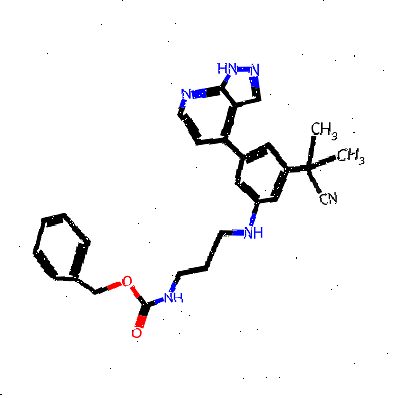 CC(C)(C#N)c1cc(NCCCNC(=O)OCc2ccccc2)cc(-c2ccnc3[nH]ncc23)c1